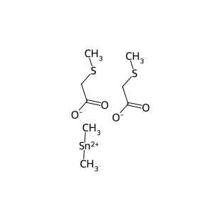 CSCC(=O)[O-].CSCC(=O)[O-].[CH3][Sn+2][CH3]